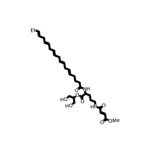 CCC=CCC=CCC=CCC=CCC=CCCCC(=O)NC(CCCNC(=O)C=CC(=O)OC)C(=O)OC(CO)CO